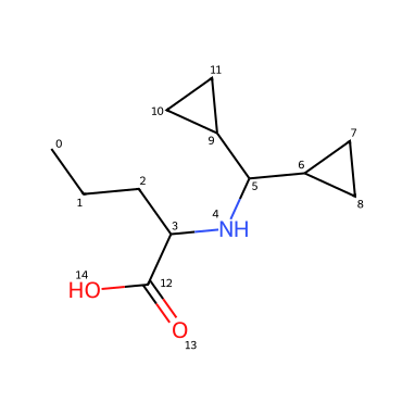 CCCC(NC(C1CC1)C1CC1)C(=O)O